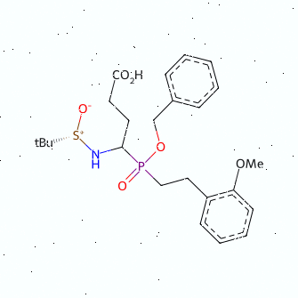 COc1ccccc1CCP(=O)(OCc1ccccc1)C(CCC(=O)O)N[S@@+]([O-])C(C)(C)C